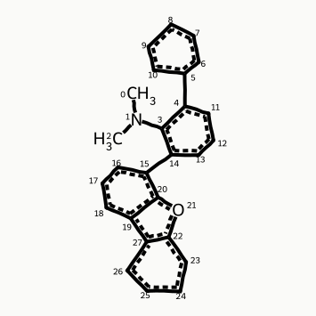 CN(C)c1c(-c2ccccc2)cccc1-c1cccc2c1oc1ccccc12